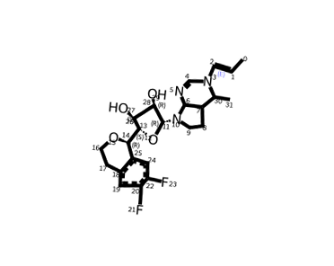 C/C=C/N1C=NC2C(CCN2[C@@H]2O[C@H]([C@@H]3OCCc4cc(F)c(F)cc43)[C@@H](O)[C@H]2O)C1C